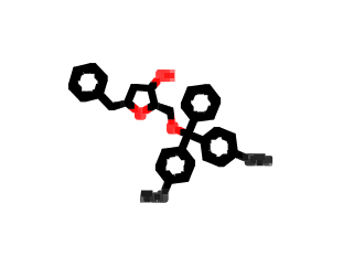 COc1ccc(C(OC[C@H]2O[C@@H](Cc3ccccc3)CC2O)(c2ccccc2)c2ccc(OC)cc2)cc1